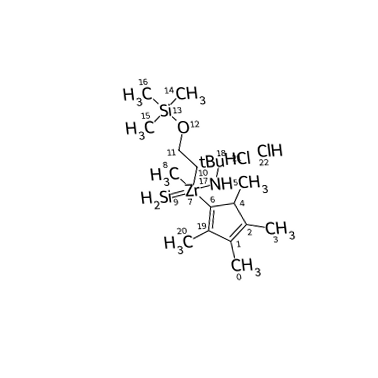 CC1=C(C)C(C)[C]([Zr]([CH3])(=[SiH2])([CH2]CO[Si](C)(C)C)[NH]C(C)(C)C)=C1C.Cl.Cl